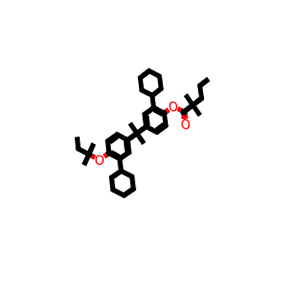 CCCC(C)(C)C(=O)Oc1ccc(C(C)(C)c2ccc(OC(C)(C)CC)c(C3CCCCC3)c2)cc1C1CCCCC1